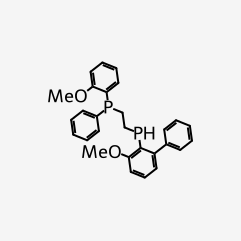 COc1ccccc1P(CCPc1c(OC)cccc1-c1ccccc1)c1ccccc1